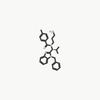 Cc1ccc(C(=O)N(CCCN)[C@H](c2nc3ccccc3n2Cc2ccccc2)C(C)C)cc1